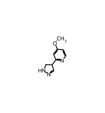 COc1ccnc(C2C=NNC2)c1